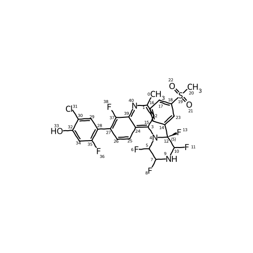 Cc1cc(N2C(F)C(F)NC(F)[C@@]2(F)c2cccc(S(C)(=O)=O)c2)c2ccc(-c3cc(Cl)c(O)cc3F)c(F)c2n1